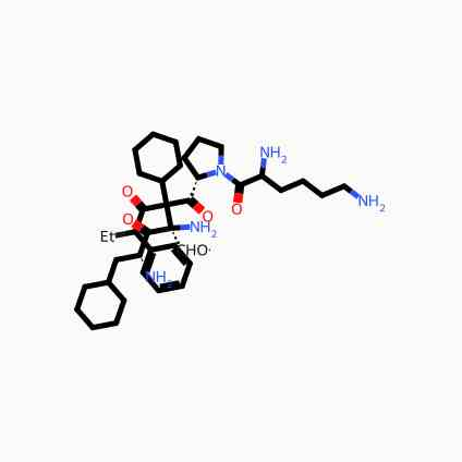 CCC(C(=O)C(C(=O)[C@@H]1CCCN1C(=O)C(N)CCCCN)(C1CCCCC1)[C@](N)([C]=O)C(=O)[C@H](N)CC1CCCCC1)c1ccccc1